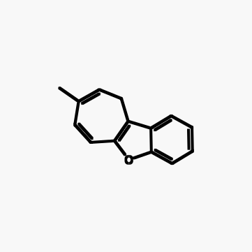 CC1=CCc2c(oc3ccccc23)C=C1